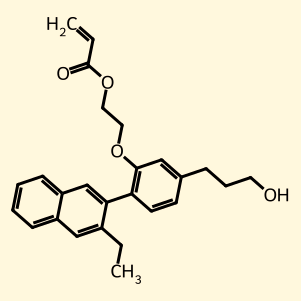 C=CC(=O)OCCOc1cc(CCCO)ccc1-c1cc2ccccc2cc1CC